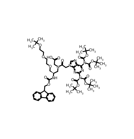 CC(C)(C)OCCOCCOC[C@@H](CN(CC(=O)O)C(=O)Cn1cnc2c(N(C(=O)OC(C)(C)C)C(=O)OC(C)(C)C)nc(N(C(=O)OC(C)(C)C)C(=O)OC(C)(C)C)nc21)NC(=O)OCC1c2ccccc2-c2ccccc21